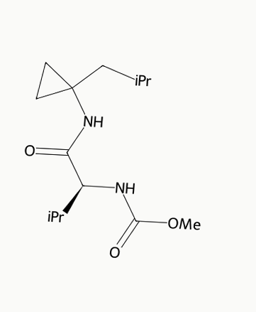 COC(=O)N[C@H](C(=O)NC1(CC(C)C)CC1)C(C)C